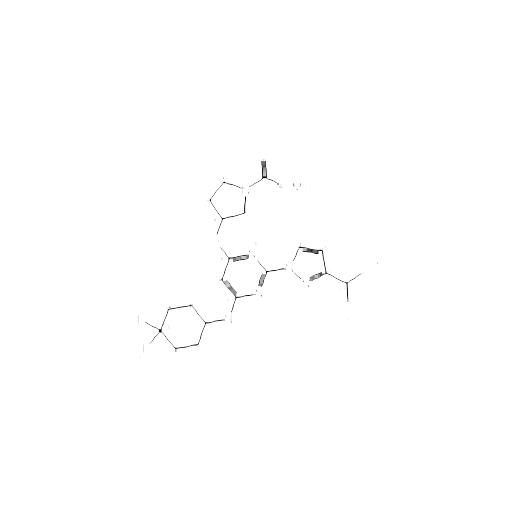 COC(=O)N1CCC(Oc2cc(NC3CCC(F)(F)CC3)nc(-n3ccc(C(F)F)n3)n2)C1